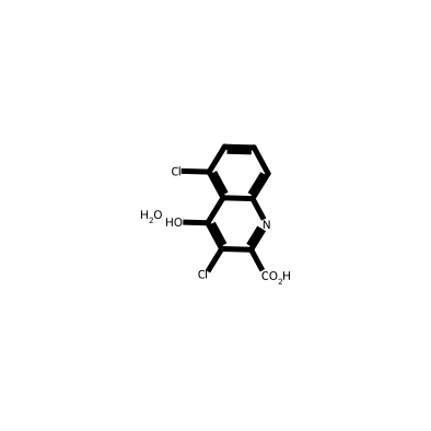 O.O=C(O)c1nc2cccc(Cl)c2c(O)c1Cl